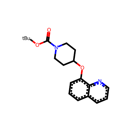 CC(C)(C)OC(=O)N1CCC(Oc2cccc3cccnc23)CC1